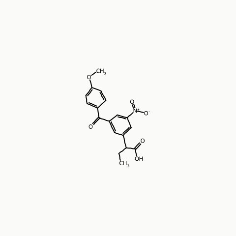 CCC(C(=O)O)c1cc(C(=O)c2ccc(OC)cc2)cc([N+](=O)[O-])c1